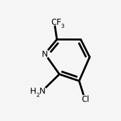 Nc1nc(C(F)(F)F)ccc1Cl